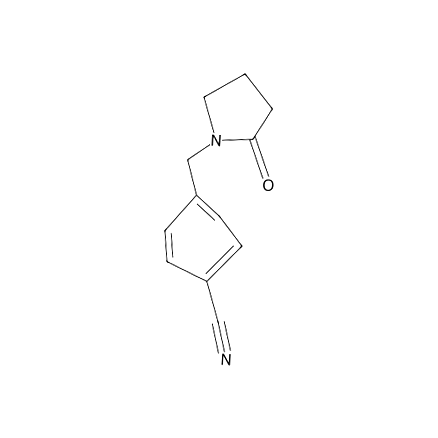 N#Cc1ccc(CN2CCCC2=O)cc1